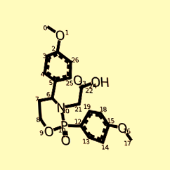 COc1ccc(C2CCOP(=O)(c3ccc(OC)cc3)N2CC(=O)O)cc1